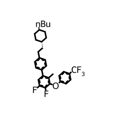 CCCC[C@H]1CC[C@H](CCc2ccc(-c3cc(F)c(F)c(Oc4ccc(C(F)(F)F)cc4)c3C)cc2)CC1